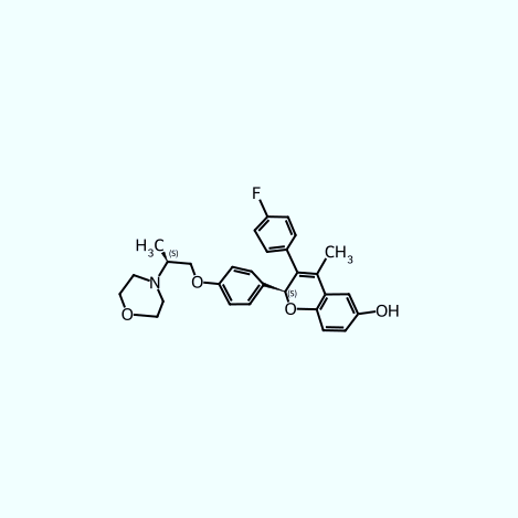 CC1=C(c2ccc(F)cc2)[C@H](c2ccc(OC[C@H](C)N3CCOCC3)cc2)Oc2ccc(O)cc21